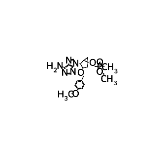 CCOP(C)(=O)CO[C@@]12CC1[C@@H](n1cnc3c(N)ncnc31)[C@@H](OCc1ccc(OC)cc1)C2